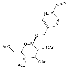 C=Cc1ccc(CO[C@@H]2OC(COC(C)=O)[C@@H](OC(C)=O)C(OC(C)=O)C2OC(C)=O)cn1